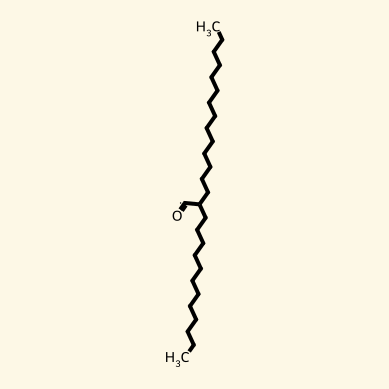 CCCCCCCCCCCCCCC([C]=O)CCCCCCCCCCCC